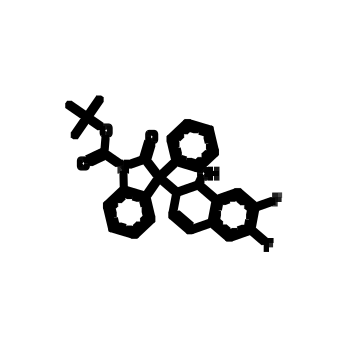 CC(C)(C)OC(=O)N1C(=O)C(c2ccccc2)(C2C=Cc3cc(F)c(F)cc3C2O)c2ccccc21